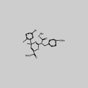 COC(=O)C1=CC(C)(c2cc(Br)ccc2F)N=C(N(Cc2ccc(OC)cc2)C(=O)OC(C)(C)C)S1